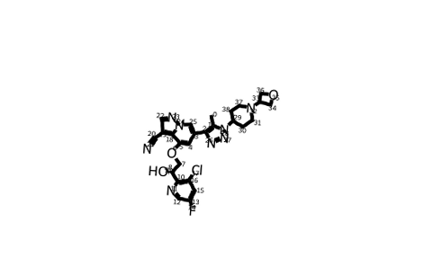 Cc1c(-c2cc(OC[C@H](O)c3ncc(F)cc3Cl)c3c(C#N)cnn3c2)nnn1C1CCN(C2COC2)CC1